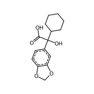 O=C(O)C(O)(c1ccc2c(c1)OCO2)C1CCCCC1